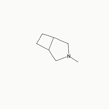 CN1CC2CCC2C1